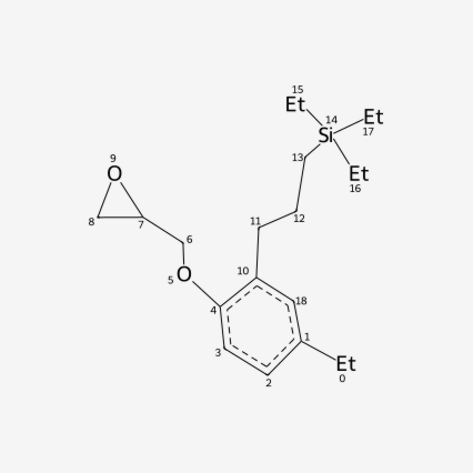 CCc1ccc(OCC2CO2)c(CCC[Si](CC)(CC)CC)c1